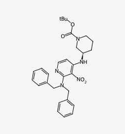 CC(C)(C)OC(=O)N1CCC[C@@H](Nc2ccnc(N(Cc3ccccc3)Cc3ccccc3)c2[N+](=O)[O-])C1